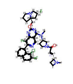 CN1CC[C@@H]1/C=C/C(=O)N1CC[C@@H](N(C)c2nc(OC[C@@]34CCCN3C[C@H](F)C4)nc3c(F)c(-c4cccc5ccc(F)c(Cl)c45)ncc23)C1